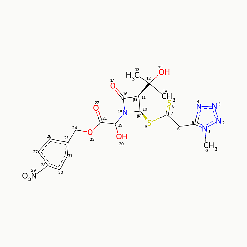 Cn1nnnc1CC(=S)S[C@@H]1[C@H](C(C)(C)O)C(=O)N1C(O)C(=O)OCc1ccc([N+](=O)[O-])cc1